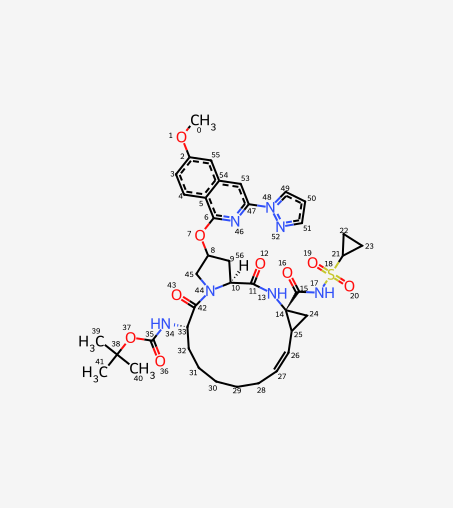 COc1ccc2c(OC3C[C@H]4C(=O)N[C@]5(C(=O)NS(=O)(=O)C6CC6)CC5/C=C\CCCCC[C@H](NC(=O)OC(C)(C)C)C(=O)N4C3)nc(-n3cccn3)cc2c1